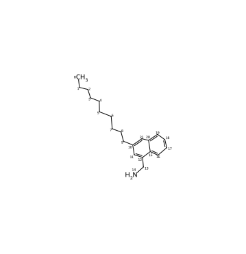 CCCCCCCCCCc1cc(CN)c2ccccc2c1